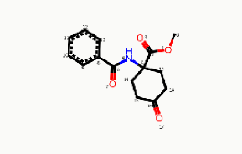 COC(=O)C1(NC(=O)c2ccccc2)CCC(=O)CC1